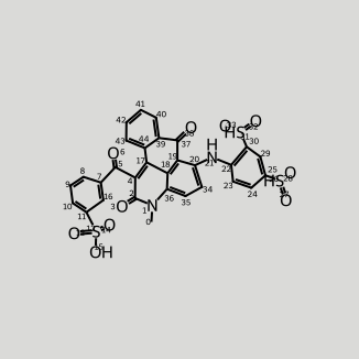 Cn1c(=O)c(C(=O)c2cccc(S(=O)(=O)O)c2)c2c3c(c(Nc4ccc([SH](=O)=O)cc4[SH](=O)=O)ccc31)C(=O)c1ccccc1-2